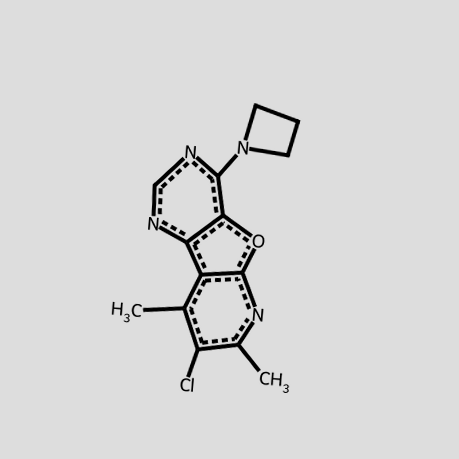 Cc1nc2oc3c(N4CCC4)ncnc3c2c(C)c1Cl